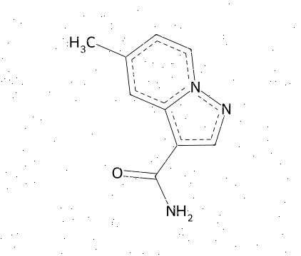 Cc1ccn2ncc(C(N)=O)c2c1